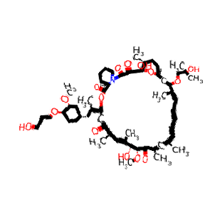 CO[C@@H]1C[C@H](C[C@@H](C)[C@@H]2CC(=O)[C@H](C)/C=C(\C)[C@@H](O)[C@@H](OC)C(=O)[C@H](C)C[C@H](C)/C=C/C=C/C=C(\C)C(OCC(C)(C)O)C[C@@H]3CC[C@@H](C)[C@@](O)(O3)C(=O)C(=O)N3CCCC[C@H]3C(=O)O2)CC[C@H]1OCCCO